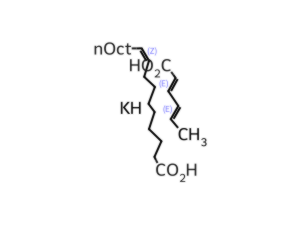 C/C=C/C=C/C(=O)O.CCCCCCCC/C=C\CCCCCCCC(=O)O.[KH]